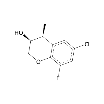 C[C@H]1c2cc(Cl)cc(F)c2OC[C@H]1O